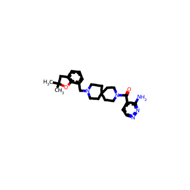 CC1(C)Cc2cccc(CN3CCC4(CC3)CCN(C(=O)c3ccnnc3N)CC4)c2O1